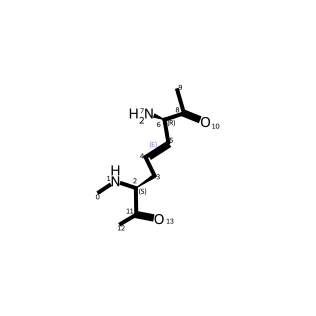 CN[C@@H](C/C=C/[C@@H](N)C(C)=O)C(C)=O